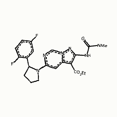 CCOC(=O)c1c(NC(=O)NC)nn2cnc(N3CCCC3c3cc(F)ccc3F)cc12